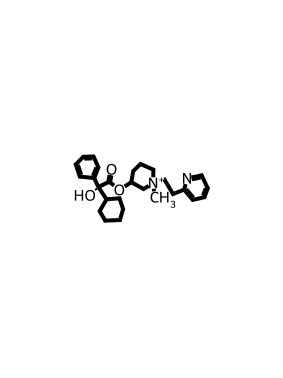 C[N+]1(CCc2ccccn2)CCCC(OC(=O)[C@](O)(c2ccccc2)C2CCCCC2)C1